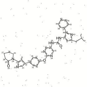 CC(C)Cc1cc(NC(=O)Nc2cnc(Oc3ccc(-c4cnc(N5CCCCC5=O)s4)cc3)nc2)n(-c2cccnc2)n1